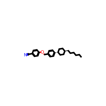 CCCCCC[C@H]1CC[C@H](c2ccc(COc3ccc(C#N)cc3)cc2)CC1